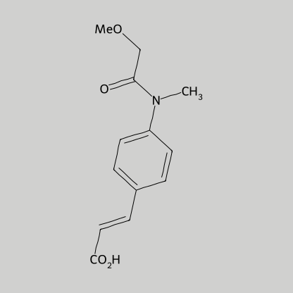 COCC(=O)N(C)c1ccc(/C=C/C(=O)O)cc1